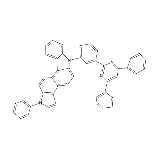 c1ccc(-c2cc(-c3ccccc3)nc(-c3cccc(-n4c5ccccc5c5c6ccc7c(ccn7-c7ccccc7)c6ccc54)c3)n2)cc1